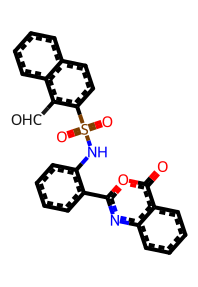 O=Cc1c(S(=O)(=O)Nc2ccccc2-c2nc3ccccc3c(=O)o2)ccc2ccccc12